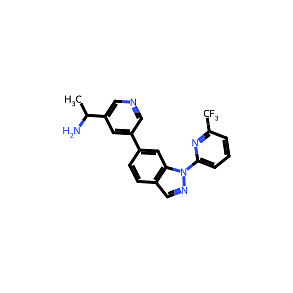 CC(N)c1cncc(-c2ccc3cnn(-c4cccc(C(F)(F)F)n4)c3c2)c1